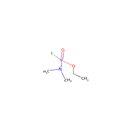 CCOP(=O)(F)N(C)C